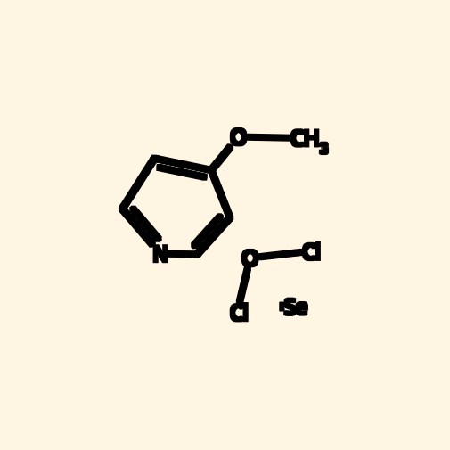 COc1ccncc1.ClOCl.[Se]